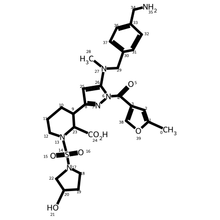 Cc1cc(C(=O)n2nc(C3CCCN(S(=O)(=O)N4CCC(O)C4)C3C(=O)O)cc2N(C)Cc2ccc(CN)cc2)co1